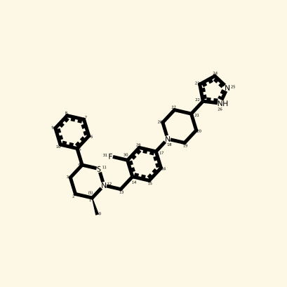 C[C@H]1CCC(c2ccccc2)SN1Cc1ccc(N2CCC(c3ccn[nH]3)CC2)cc1F